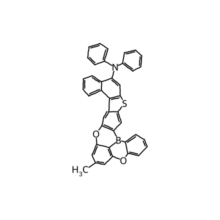 Cc1cc2c3c(c1)Oc1cc4c(cc1B3c1ccccc1O2)sc1cc(N(c2ccccc2)c2ccccc2)c2ccccc2c14